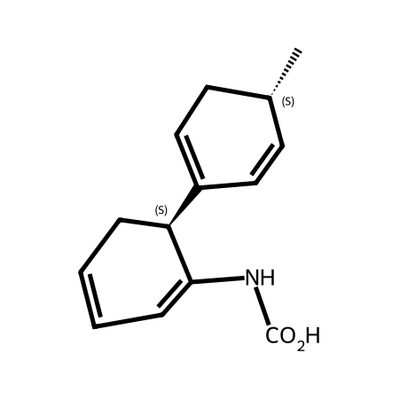 C[C@@H]1C=CC([C@@H]2CC=CC=C2NC(=O)O)=CC1